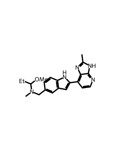 CCC(OC)N(C)Cc1ccc2[nH]c(-c3ccnc4[nH]c(C)nc34)cc2c1